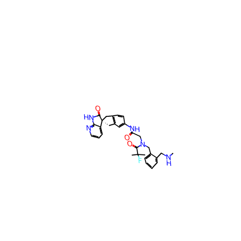 CNCc1ccccc1CN(CC(=O)Nc1ccc2c(c1)C[C@@]1(C2)C(=O)Nc2ncccc21)C(=O)C(C)(C)F